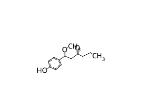 CCCC(=O)CC(OC)c1ccc(O)cc1